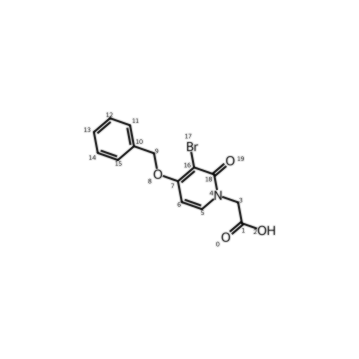 O=C(O)Cn1ccc(OCc2ccccc2)c(Br)c1=O